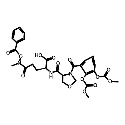 COC(=O)Oc1cccc(C(=O)N2COCC2C(=O)N[C@@H](CCC(=O)N(C)OC(=O)c2ccccc2)C(=O)O)c1OC(=O)OC